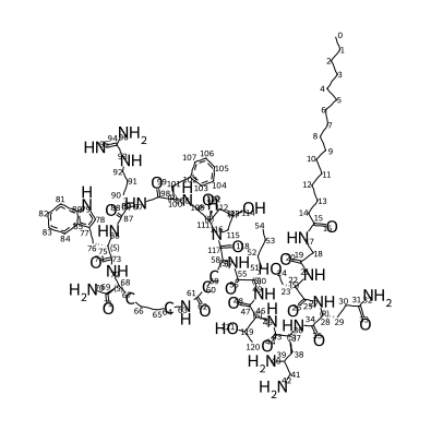 CCCCCCCCCCCCCCCC(=O)NCC(=O)N[C@@H](CO)C(=O)N[C@H](CCC(N)=O)C(=O)N[C@@H](CC(N)CN)C(=O)N[C@H](C(=O)N[C@@H](CCCC)C(=O)N[C@H]1CCC(=O)NCCCC[C@@H](C(N)=O)NC(=O)[C@H](Cc2c[nH]c3ccccc23)NC(=O)[C@H](CCCNC(=N)N)NC(=O)[C@@H](Cc2ccccc2)NC(=O)[C@@H]2C[C@@H](O)CN2C1=O)C(C)O